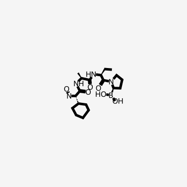 CC[C@H](NC(=O)[C@H](C)NC(=O)[C@@H](N=O)C1CCCCC1)C(=O)N1CCC[C@H]1B(O)O